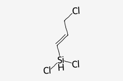 ClCC=C[SiH](Cl)Cl